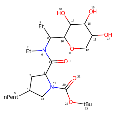 CCCCCC1CC(C(=O)N(CC)C(CC)C2OCC(O)C(O)C2O)N(C(=O)OC(C)(C)C)C1